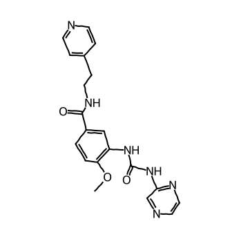 COc1ccc(C(=O)NCCc2ccncc2)cc1NC(=O)Nc1cnccn1